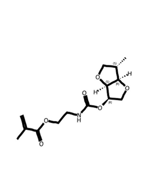 C=C(C)C(=O)OCCNC(=O)O[C@@H]1CO[C@H]2[C@@H]1OC[C@@H]2C